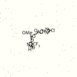 COC[C@H](COc1cn[nH]c(=O)c1C(F)(F)F)OCCC(=O)N1CCN(c2ncc(Cl)cn2)CC1